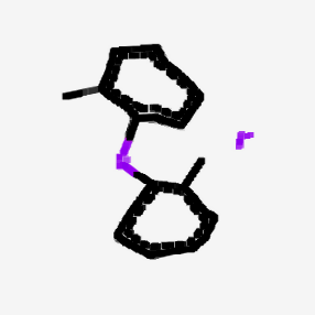 Cc1ccccc1[I+]c1ccccc1C.[I-]